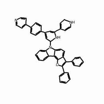 C1=CC(C2=CC(c3ccc(-c4ccncc4)cc3)=CC(n3c4ccccc4c4c5oc(-c6ccccc6)c(-c6ccccc6)c5ccc43)N2)=CCN1